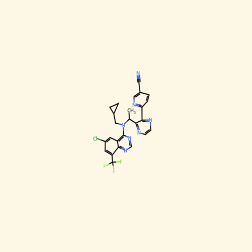 CC(c1nccnc1-c1ccc(C#N)cn1)N(CC1CC1)c1ncnc2c(C(F)(F)F)cc(Cl)cc12